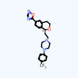 FC(F)(F)c1ccc(N2CCN(CC[C@@H]3OCCc4cc(-c5ncno5)ccc43)CC2)cc1